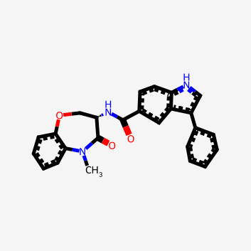 CN1C(=O)[C@@H](NC(=O)c2ccc3[nH]cc(-c4ccccc4)c3c2)COc2ccccc21